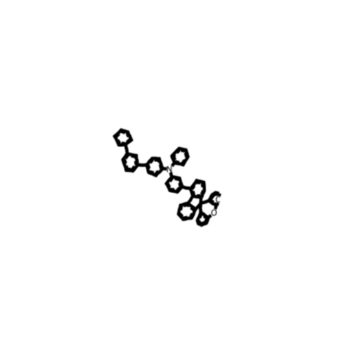 c1ccc(-c2cccc(-c3ccc(N(c4ccccc4)c4cccc(-c5cccc6c5-c5ccccc5C65c6ccccc6Oc6ccccc65)c4)cc3)c2)cc1